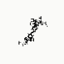 CCC(=O)NC1CCC(CCN2CCN(c3nc(NC)nc(Cl)c3Cl)CC2)CC1